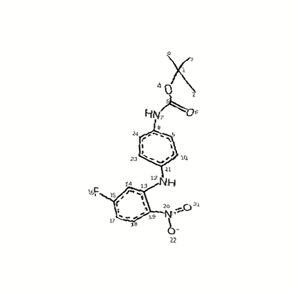 CC(C)(C)OC(=O)Nc1ccc(Nc2cc(F)ccc2[N+](=O)[O-])cc1